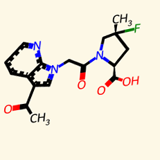 CC(=O)c1cn(CC(=O)N2C[C@](C)(F)C[C@H]2C(=O)O)c2ncccc12